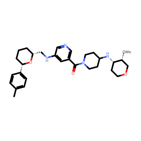 CO[C@@H]1COCC[C@@H]1NC1CCN(C(=O)c2cncc(NC[C@H]3CCC[C@@H](c4ccc(C)cc4)O3)c2)CC1